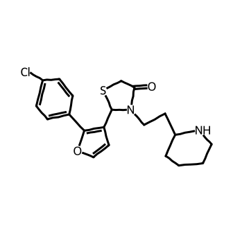 O=C1CSC(c2ccoc2-c2ccc(Cl)cc2)N1CCC1CCCCN1